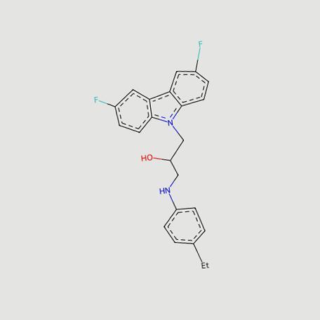 CCc1ccc(NCC(O)Cn2c3ccc(F)cc3c3cc(F)ccc32)cc1